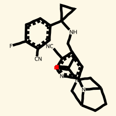 N#Cc1ccc(N2C3CCC2CN(C(=O)CCNC2(c4ccc(F)c(C#N)c4)CC2)C3)nc1